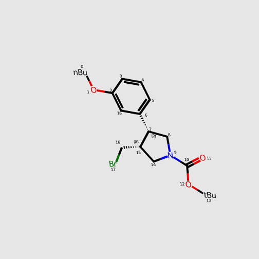 CCCCOc1cccc([C@@H]2CN(C(=O)OC(C)(C)C)C[C@@H]2CBr)c1